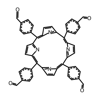 O=Cc1ccc(C2=C3C=CC(=N3)C(c3ccc(C=O)cc3)=C3C=CC(=N3)C(c3ccc(C=O)cc3)=C3C=CC(=N3)C(c3ccc(C=O)cc3)=C3C=CC2=N3)cc1